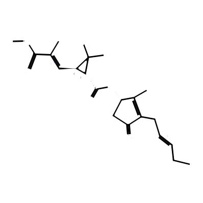 CC/C=C/CC1=C(C)[C@@H](OC(=O)[C@@H]2[C@@H](/C=C(\C)C(=O)OC)C2(C)C)CC1=O